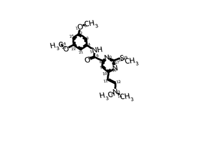 COc1cc(NC(=O)c2cc(/C=C/N(C)C)nc(SC)n2)cc(OC)c1